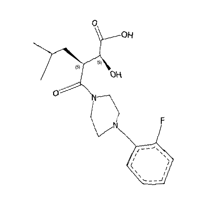 CC(C)C[C@H](C(=O)N1CCN(c2ccccc2F)CC1)[C@H](O)C(=O)O